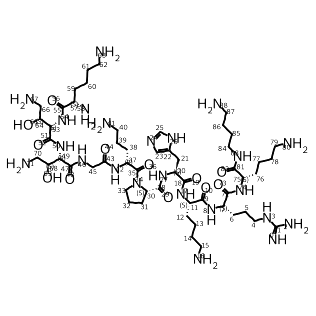 N=C(N)NCCC[C@H](NC(=O)[C@H](CCCCN)NC(=O)[C@H](Cc1cnc[nH]1)NC(=O)[C@@H]1CCCN1C(=O)[C@@H](CCCN)NC(=O)CNC(=O)[C@@H](NC(=O)[C@@H](NC(=O)[C@@H](N)CCCCN)[C@@H](O)CN)[C@@H](O)CN)C(=O)N[C@@H](CCCCN)C(=O)NCCCCN